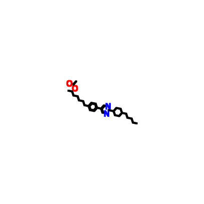 CCCCCC1CCC(c2ncc(-c3ccc(CCCCCC(C)OC(C)=O)cc3)cn2)CC1